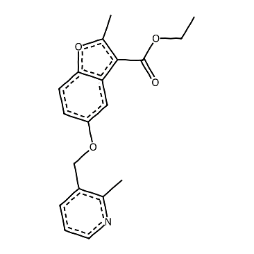 CCOC(=O)c1c(C)oc2ccc(OCc3cccnc3C)cc12